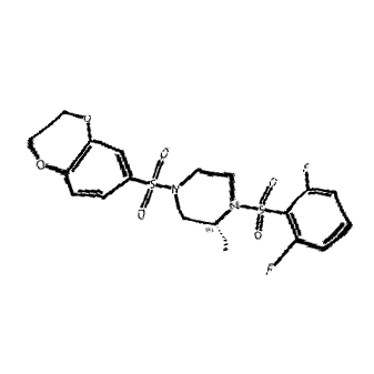 C[C@@H]1CN(S(=O)(=O)c2ccc3c(c2)OCCO3)CCN1S(=O)(=O)c1c(F)cccc1F